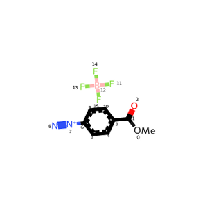 COC(=O)c1ccc([N+]#N)cc1.F[B-](F)(F)F